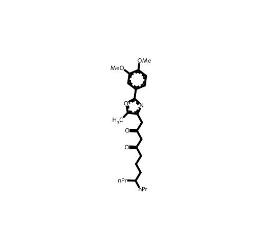 CCCC(CCC)CCCC(=O)CC(=O)Cc1nc(-c2ccc(OC)c(OC)c2)oc1C